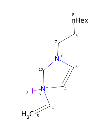 C=C[N+]1(I)C=CN(CCCCCCCC)C1